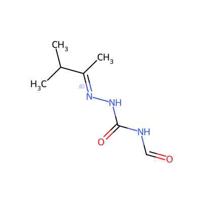 C/C(=N\NC(=O)NC=O)C(C)C